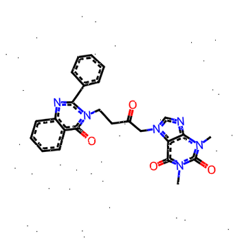 Cn1c(=O)c2c(ncn2CC(=O)CCn2c(-c3ccccc3)nc3ccccc3c2=O)n(C)c1=O